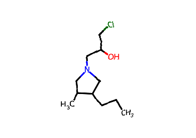 CCCC1CN(CC(O)CCl)CC1C